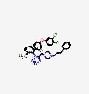 Cc1cccc(C)c1-n1nnnc1[C@H](C1C=C(Oc2ccc(Cl)c(Cl)c2)C=CC1)N1CCN(C/C=C/c2ccccc2)CC1